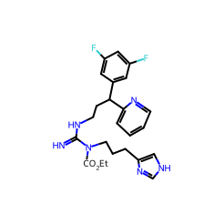 CCOC(=O)N(CCCc1c[nH]cn1)C(=N)NCCC(c1cc(F)cc(F)c1)c1ccccn1